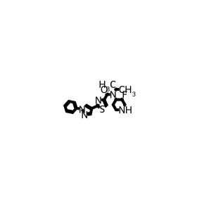 CC(C)N(C(=O)c1csc(-c2cnn(-c3ccccc3)c2)n1)C1CCNCC1F